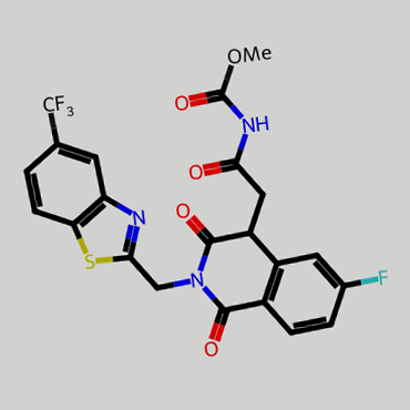 COC(=O)NC(=O)CC1C(=O)N(Cc2nc3cc(C(F)(F)F)ccc3s2)C(=O)c2ccc(F)cc21